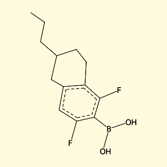 CCCC1CCc2c(cc(F)c(B(O)O)c2F)C1